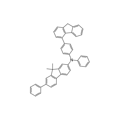 CC1(C)c2cc(-c3ccccc3)ccc2-c2ccc(N(c3ccccc3)c3ccc(-c4cccc5c4-c4ccccc4C5)cc3)cc21